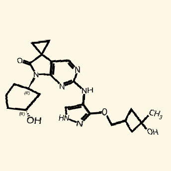 CC1(O)CC(COc2n[nH]cc2Nc2ncc3c(n2)N([C@@H]2CCC[C@@H](O)C2)C(=O)C32CC2)C1